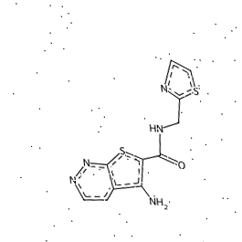 Nc1c(C(=O)NCc2nccs2)sc2nnccc12